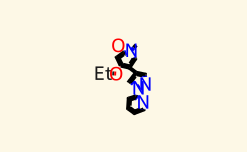 CCOc1cc(=O)n(C)cc1-c1cnn(-c2ccccn2)c1